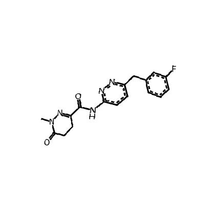 CN1N=C(C(=O)Nc2ccc(Cc3cccc(F)c3)nn2)CCC1=O